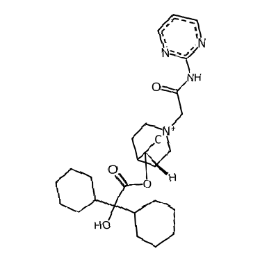 O=C(C[N+]12CCC(CC1)[C@@H](OC(=O)C(O)(C1CCCCC1)C1CCCCC1)C2)Nc1ncccn1